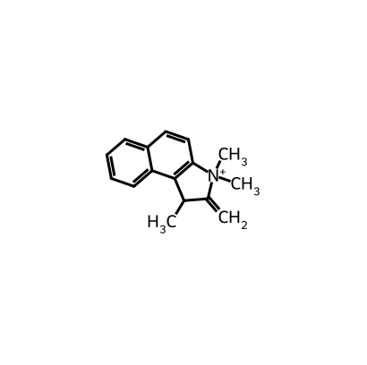 C=C1C(C)c2c(ccc3ccccc23)[N+]1(C)C